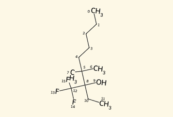 CCCCCC(C)(C)C(O)(CC)C(F)(F)F